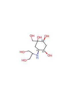 OCC(CO)N[C@H]1CC(O)(CO)[C@@H](O)C[C@H]1O